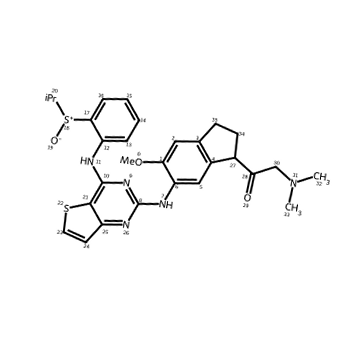 COc1cc2c(cc1Nc1nc(Nc3ccccc3[S+]([O-])C(C)C)c3sccc3n1)C(C(=O)CN(C)C)CC2